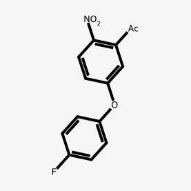 CC(=O)c1cc(Oc2ccc(F)cc2)ccc1[N+](=O)[O-]